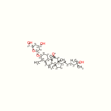 C[C@@H]1C2=CCC3[C@@](C)(C(=O)C[C@]4(C)C(CCCCC(C)(C)O)CC[C@@]34C)C2CC[C@@H]1O[C@H]1C[C@@H](O)C[C@@H](CO)O1